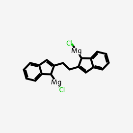 [Cl][Mg][CH]1C(CCC2=Cc3ccccc3[CH]2[Mg][Cl])=Cc2ccccc21